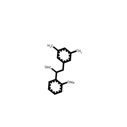 COc1ccccc1C(C=O)Cc1cc(C)cc(C)c1